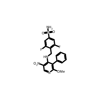 COc1ncc([N+](=O)[O-])c(NCc2c(F)cc(S(N)(=O)=O)cc2F)c1-c1ccccc1